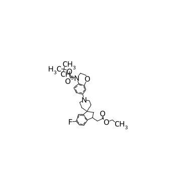 CCOC(=O)CC1CC2(CCN(c3ccc4c(c3)OCCN4C(=O)OC(C)(C)C)CC2)c2cc(F)ccc21